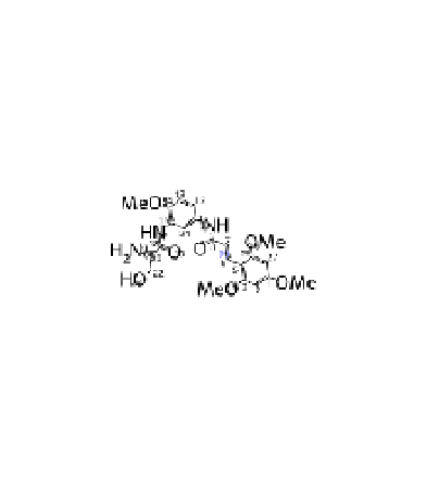 COc1cc(OC)c(/C=C/C(=O)Nc2ccc(OC)c(NC(=O)[C@H](N)CO)c2)c(OC)c1